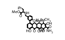 COC(=O)C(CC(C)C)NCc1ccc(OC)c(-c2ccc(O)c3c2CC2CC4C(N(C)C)C(O)=C(C(N)=O)C(=O)C4(O)C(O)=C2C3=O)c1